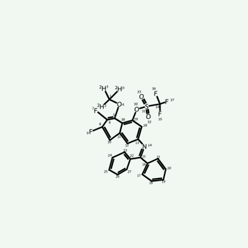 [2H]C([2H])([2H])Oc1c(F)c(F)cc2cc(N=C(c3ccccc3)c3ccccc3)cc(OS(=O)(=O)C(F)(F)F)c12